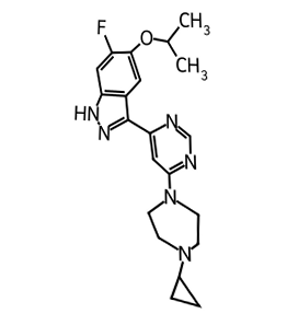 CC(C)Oc1cc2c(-c3cc(N4CCN(C5CC5)CC4)ncn3)n[nH]c2cc1F